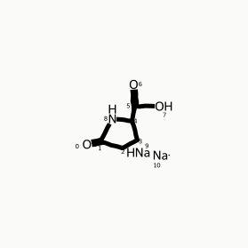 O=C1CCC(C(=O)O)N1.[NaH].[Na]